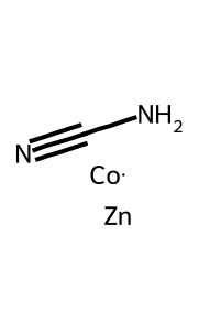 N#CN.[Co].[Zn]